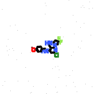 COc1ccc(CNc2cc(Cl)nc(N3CCC(F)(F)C3)c2C=N)cc1